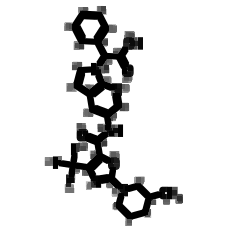 CC1CCCN(c2nc(C(F)(F)F)c(C(=O)Nc3cnc4c(ccn4C(C(=O)O)c4ccccc4)c3)o2)C1